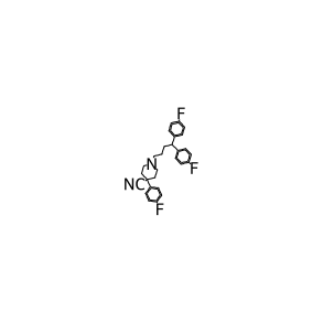 N#CC1(c2ccc(F)cc2)CCN(CCCC(c2ccc(F)cc2)c2ccc(F)cc2)CC1